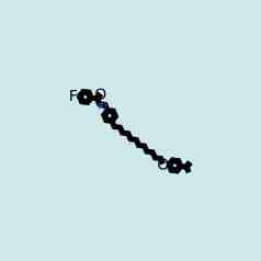 C=C(C)c1ccc(OCCCCCCCCCCCCc2ccc(/C=C/C(=O)c3ccc(F)cc3)cc2)cc1